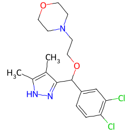 Cc1[nH]nc(C(OCCN2CCOCC2)c2ccc(Cl)c(Cl)c2)c1C